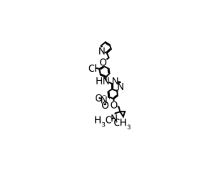 CN(C)CC1(COc2cc3ncnc(Nc4ccc(OCc5ccccn5)c(Cl)c4)c3cc2[N+](=O)[O-])CC1